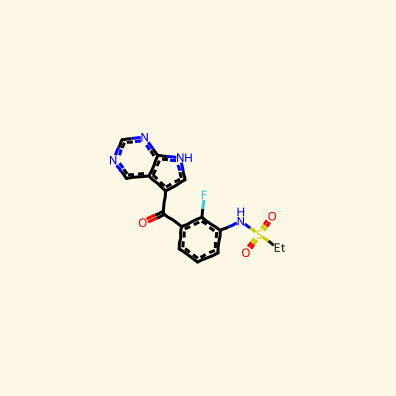 CCS(=O)(=O)Nc1cccc(C(=O)c2c[nH]c3ncncc23)c1F